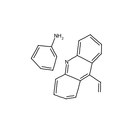 C=Cc1c2ccccc2nc2ccccc12.Nc1ccccc1